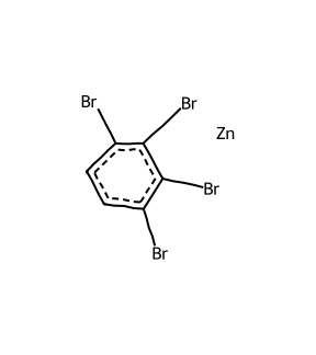 Brc1ccc(Br)c(Br)c1Br.[Zn]